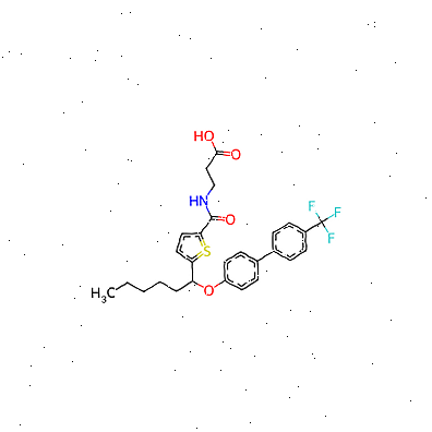 CCCCCC(Oc1ccc(-c2ccc(C(F)(F)F)cc2)cc1)c1ccc(C(=O)NCCC(=O)O)s1